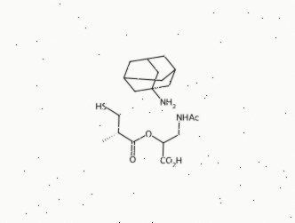 CC(=O)NCC(OC(=O)[C@H](C)CS)C(=O)O.NC12CC3CC(CC(C3)C1)C2